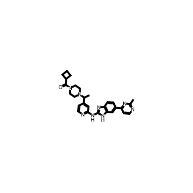 Cc1nccc(-c2ccc3nc(Nc4cc(C(C)N5CCN(C(=O)C6CCC6)CC5)ccn4)[nH]c3c2)n1